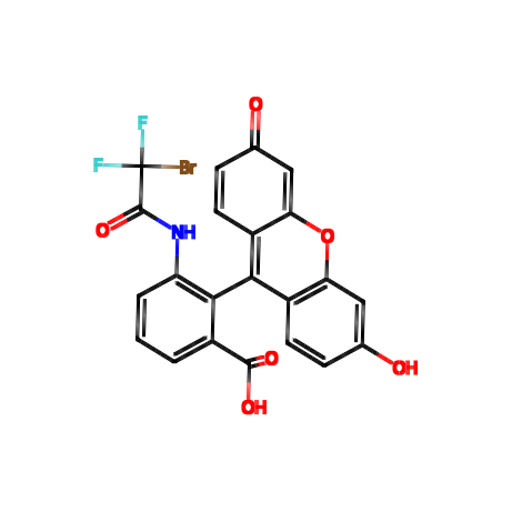 O=C(O)c1cccc(NC(=O)C(F)(F)Br)c1-c1c2ccc(=O)cc-2oc2cc(O)ccc12